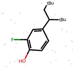 CC(C)(C)CC(c1ccc(O)c(F)c1)C(C)(C)C